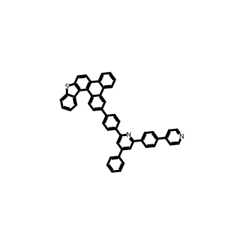 c1ccc(-c2cc(-c3ccc(-c4ccncc4)cc3)nc(-c3ccc(-c4ccc5c(c4)c4ccccc4c4ccc6sc7ccccc7c6c45)cc3)c2)cc1